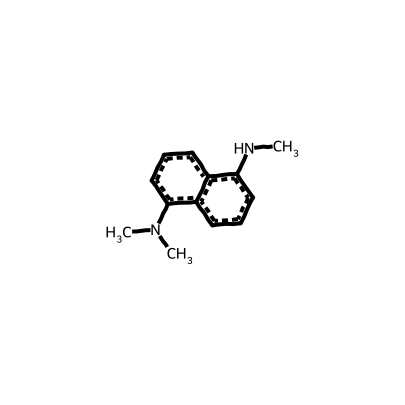 CNc1cccc2c(N(C)C)cccc12